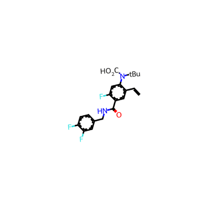 C=Cc1cc(C(=O)NCc2ccc(F)c(F)c2)c(F)cc1N(C(=O)O)C(C)(C)C